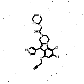 N#CCOc1cc(Cl)c(Cl)c2c1c(-c1cn[nH]c1)c1n2CCN(C(=O)C[C@H]2COCCN2)C1